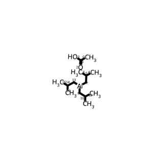 CC(=O)O.CC(C)[CH2][Al]([CH2]C(C)C)[CH2]C(C)C